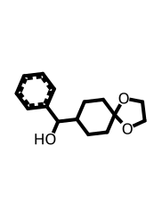 OC(c1ccccc1)C1CCC2(CC1)OCCO2